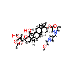 COCCN1CC(CN2CCO[C@@H](O[C@H]3CC[C@]45CC46CC[C@]4(C)[C@@H]7C(OC([C@H](OC(C)=O)C(C)(C)O)C[C@H]7C)[C@H](O)[C@@]4(C)C6CC[C@H]5C3(C)C)C2)C1